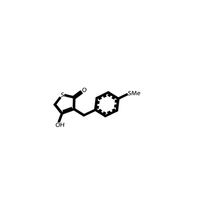 CSc1ccc(CC2=C(O)CSC2=O)cc1